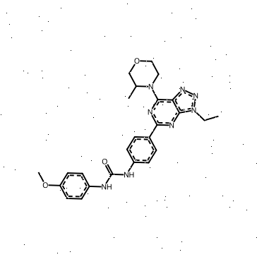 CCn1nnc2c(N3CCOCC3C)nc(-c3ccc(NC(=O)Nc4ccc(OC)cc4)cc3)nc21